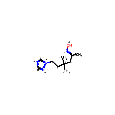 CC(CC(C)(C)C[CH]n1cncn1)=NO